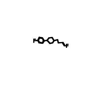 FC=CCCC1CCC(c2ccc(F)cc2)CC1